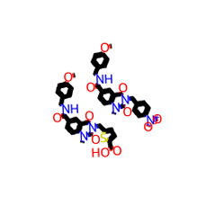 COc1ccc(CNC(=O)c2ccc3c(c2)c(=O)n(Cc2ccc(C(=O)O)s2)c(=O)n3C)cc1.COc1ccc(CNC(=O)c2ccc3c(c2)c(=O)n(Cc2ccc([N+](=O)[O-])cc2)c(=O)n3C)cc1